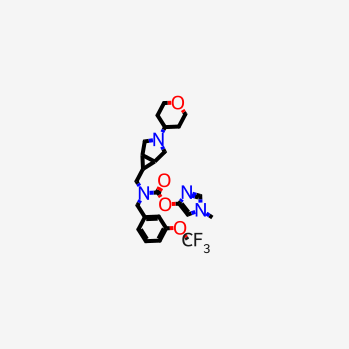 Cn1cnc(OC(=O)N(Cc2cccc(OC(F)(F)F)c2)CC2C3CN(C4CCOCC4)CC23)c1